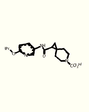 CC(C)Oc1ccc(NC(=O)C2CC23CCN(C(=O)O)CC3)cn1